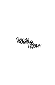 Cc1c(NC(=O)NCC(O)CO)cn2ncc(C#N)c(Nc3ccc(Oc4ccccc4)cc3)c12